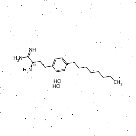 CCCCCCCCc1ccc(CC[C@@H](N)C(=N)N)cc1.Cl.Cl